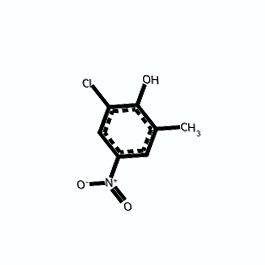 Cc1cc([N+](=O)[O-])cc(Cl)c1O